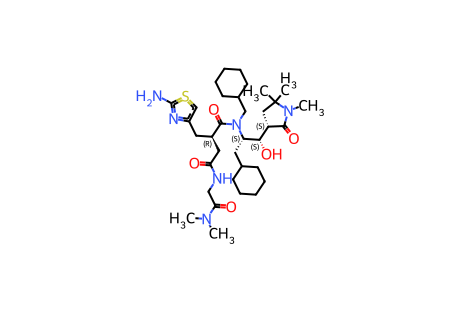 CN(C)C(=O)CNC(=O)C[C@@H](Cc1csc(N)n1)C(=O)N(CC1CCCCC1)[C@@H](CC1CCCCC1)[C@@H](O)[C@@H]1CC(C)(C)N(C)C1=O